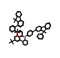 CC(C)(C)c1cc(-c2ccccc2N(c2ccc(-c3ccc4c(c3)C(C)(c3ccccc3)c3ccccc3-4)cc2)c2ccc(-c3ccccc3-c3cccc4c3C(C)(C)c3ccccc3-4)cc2)cc(C(C)(C)C)c1